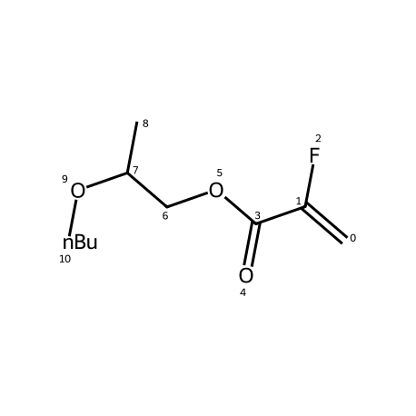 C=C(F)C(=O)OCC(C)OCCCC